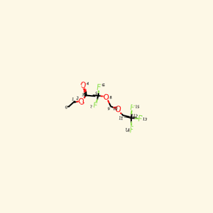 CCOC(=O)C(F)(F)OCOCC(F)(F)F